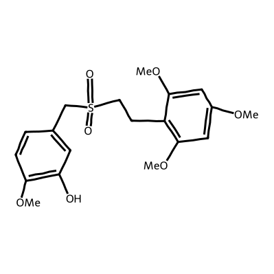 COc1cc(OC)c(CCS(=O)(=O)Cc2ccc(OC)c(O)c2)c(OC)c1